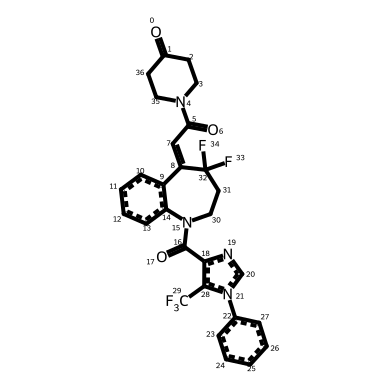 O=C1CCN(C(=O)C=C2c3ccccc3N(C(=O)c3ncn(-c4ccccc4)c3C(F)(F)F)CCC2(F)F)CC1